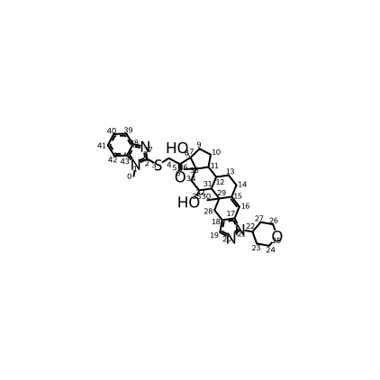 Cn1c(SCC(=O)[C@@]2(O)CCC3C4CCC5=Cc6c(cnn6C6CCOCC6)CC5(C)C4[C@@H](O)CC32C)nc2ccccc21